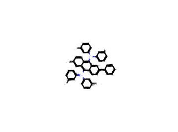 CC(C)(C)c1cccc(N(c2cccc(C(C)(C)C)c2)c2c3ccc(C(C)(C)C)cc3c(N(c3cccc(C(C)(C)C)c3)c3cccc(C(C)(C)C)c3)c3ccc(-c4ccccc4)cc23)c1